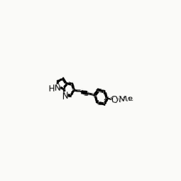 COc1ccc(C#Cc2cnc3[nH]ccc3c2)cc1